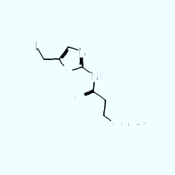 CCOC(=O)CCC(=O)Nc1ncc(CCl)s1